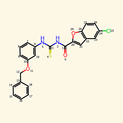 O=C(NC(=S)Nc1cccc(OCc2ccccc2)c1)c1cc2cc(Cl)ccc2o1